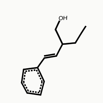 CCC(/C=C/c1ccccc1)CO